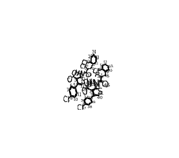 O=C(O)c1c(-c2ccc(Cl)cc2)csc1NC(=O)C(Cl)Cc1ccccc1Cl.O=C(O)c1c(-c2ccc(Cl)cc2)csc1NC(=O)C(F)Cc1ccccc1Cl